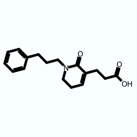 O=C(O)CCC1=CCCN(CCCc2ccccc2)C1=O